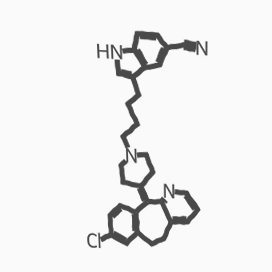 N#Cc1ccc2[nH]cc(CCCCN3CCC(=C4c5ccc(Cl)cc5CCc5cccnc54)CC3)c2c1